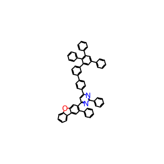 c1ccc(-c2cc(-c3ccccc3)c(-c3ccccc3)c(-c3cccc(-c4ccc(-c5cc(-c6cc7oc8ccccc8c7cc6-c6ccccc6)nc(-c6ccccc6)n5)cc4)c3)c2)cc1